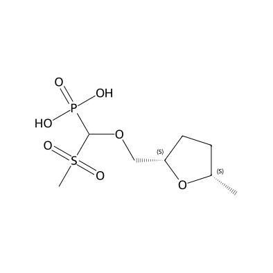 C[C@H]1CC[C@@H](COC(P(=O)(O)O)S(C)(=O)=O)O1